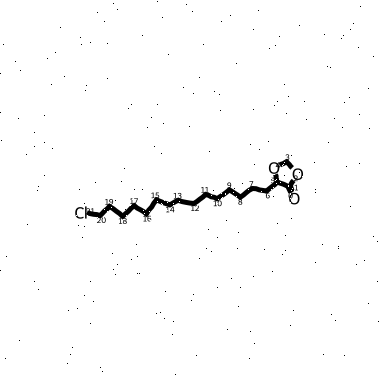 O=C1OCOC1CCCCCCCCCCCCCCCCl